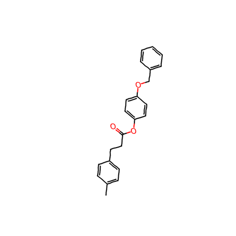 Cc1ccc(CCC(=O)Oc2ccc(OCc3ccccc3)cc2)cc1